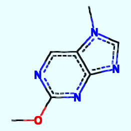 COc1ncc2c(ncn2C)n1